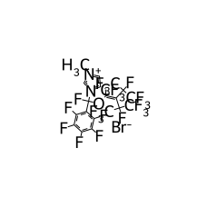 C[n+]1ccn(C(F)(OC(=C(C(F)(C(F)(F)F)C(F)(F)F)C(F)(C(F)(F)F)C(F)(F)F)C(F)(F)F)c2c(F)c(F)c(F)c(F)c2F)c1.[Br-]